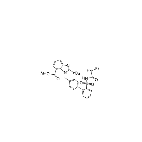 CCCCc1nc2cccc(C(=O)OC)c2n1Cc1ccc(-c2ccccc2S(=O)(=O)NC(=O)NCC)cc1